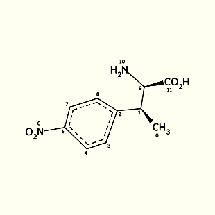 C[C@@H](c1ccc([N+](=O)[O-])cc1)[C@@H](N)C(=O)O